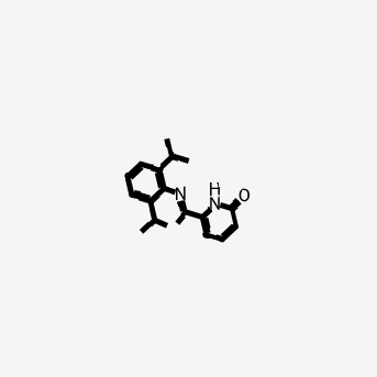 C/C(=N\c1c(C(C)C)cccc1C(C)C)c1cccc(=O)[nH]1